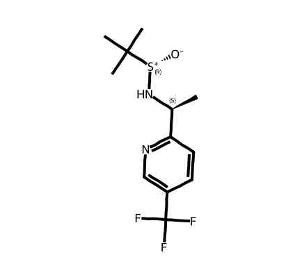 C[C@H](N[S@@+]([O-])C(C)(C)C)c1ccc(C(F)(F)F)cn1